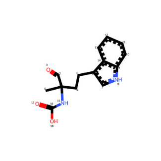 CC(C=O)(CCc1c[nH]c2ccccc12)NC(=O)O